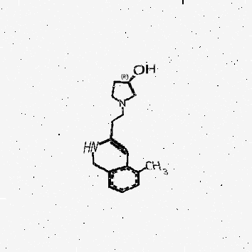 Cc1cccc2c1C=C(CCN1CC[C@@H](O)C1)NC2